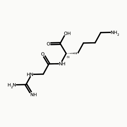 N=C(N)NCC(=O)N[C@@H](CCCCN)C(=O)O